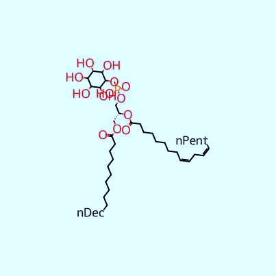 CCCCC/C=C\C/C=C\CCCCCCCC(=O)O[C@H](COC(=O)CCCCCCCCCCCCCCCCCCC)COP(=O)(O)OC1C(O)C(O)C(O)[C@@H](O)C1O